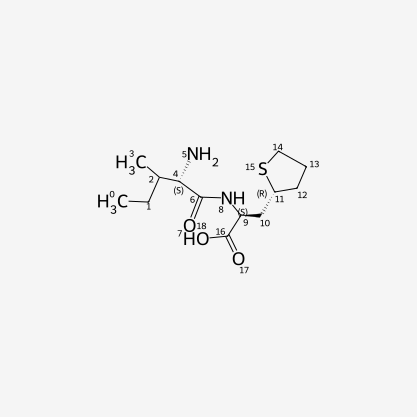 CCC(C)[C@H](N)C(=O)N[C@@H](C[C@H]1CCCS1)C(=O)O